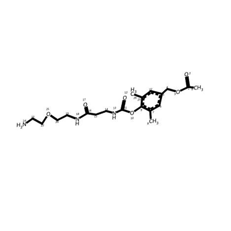 CC(=O)OCc1cc(C)c(OC(=O)NCCC(=O)NCCOCCN)c(C)c1